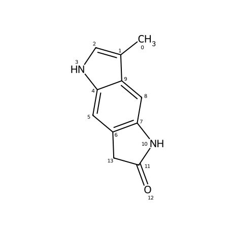 Cc1c[nH]c2cc3c(cc12)NC(=O)C3